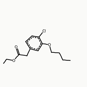 CCCCOc1cc(CC(=O)OCC)ccc1Cl